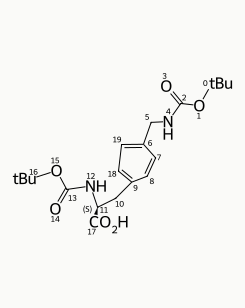 CC(C)(C)OC(=O)NCc1ccc(C[C@H](NC(=O)OC(C)(C)C)C(=O)O)cc1